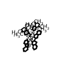 Cc1cc2c(cc1N1c3c4c(cc5ccccc35)-c3cc5ccccc5cc3N(c3cccc5c3oc3ccccc35)B4c3sc4cc5c(cc4c31)C(C)(C)CCC5(C)C)C(C)(C)CCC2(C)C